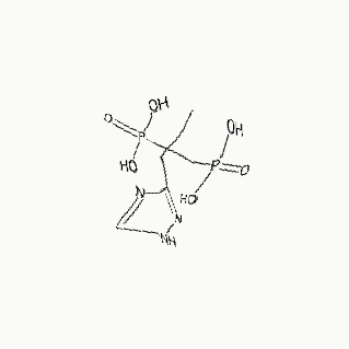 CC(c1nc[nH]n1)(P(=O)(O)O)P(=O)(O)O